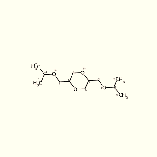 CC(C)OCC1COC(COC(C)C)CO1